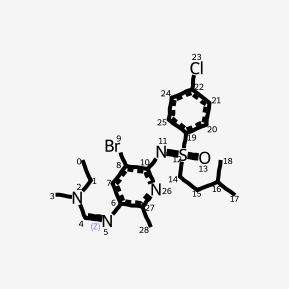 CCN(C)/C=N\c1cc(Br)c(N=S(=O)(CCC(C)C)c2ccc(Cl)cc2)nc1C